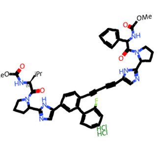 COC(=O)NC(C(=O)N1CCCC1c1ncc(C#CC#Cc2ccc(-c3cnc(C4CCCN4C(=O)[C@@H](NC(=O)OC)C(C)C)[nH]3)cc2-c2ccccc2F)[nH]1)c1ccccc1.Cl.Cl